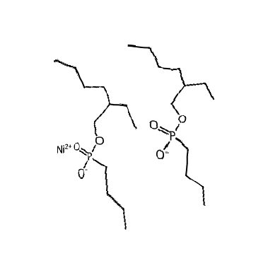 CCCCC(CC)COP(=O)([O-])CCCC.CCCCC(CC)COP(=O)([O-])CCCC.[Ni+2]